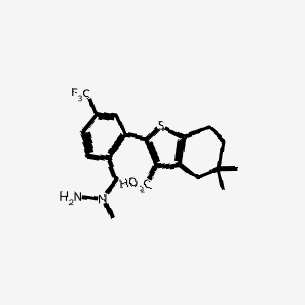 CN(N)Cc1ccc(C(F)(F)F)cc1-c1sc2c(c1C(=O)O)CC(C)(C)CC2